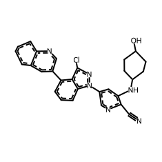 N#Cc1ncc(-n2nc(Cl)c3c(-c4cnc5ccccc5c4)cccc32)cc1NC1CCC(O)CC1